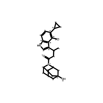 CC(CC(=O)N1C2CC3CC1CC(O)(C3)C2)c1c[nH]c2ccc(C3CC3)c(Cl)c12